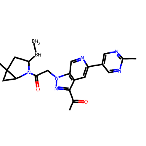 BBC1CC2(C)CC2N1C(=O)Cn1nc(C(C)=O)c2cc(-c3cnc(C)nc3)ncc21